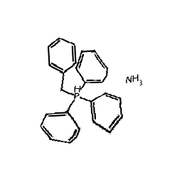 N.c1ccc(C[PH](c2ccccc2)(c2ccccc2)c2ccccc2)cc1